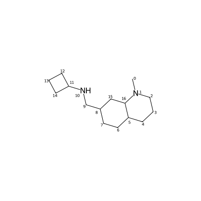 CN1CCCC2CCC(CNC3CCC3)CC21